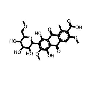 COCC1OC(c2c(O)c3c(c(O)c2OC)C(=O)c2cc(OC)c(C(=O)O)c(C)c2C3=O)C(O)C(O)C1O